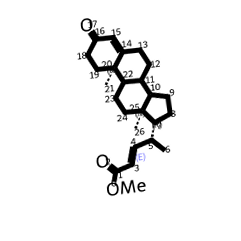 COC(=O)/C=C/C(C)[C@H]1CCC2C3CCC4=CC(=O)CC[C@]4(C)C3CC[C@@]21C